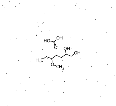 CCC(CCC(O)CO)OC.O=C(O)O